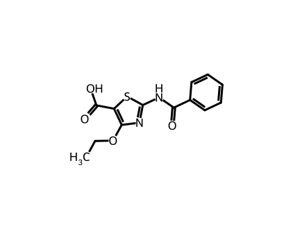 CCOc1nc(NC(=O)c2ccccc2)sc1C(=O)O